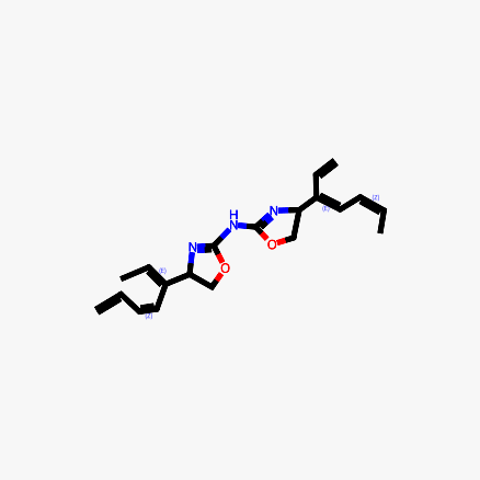 C=C/C=C\C(=C/C)C1COC(NC2=NC(/C(C=C)=C/C=C\C)CO2)=N1